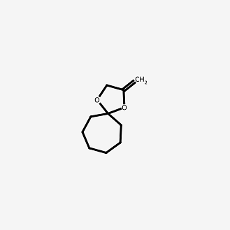 C=C1COC2(CCCCCC2)O1